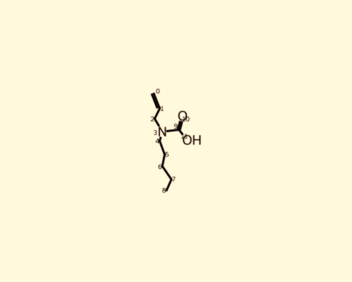 C=CCN(CCCCC)C(=O)O